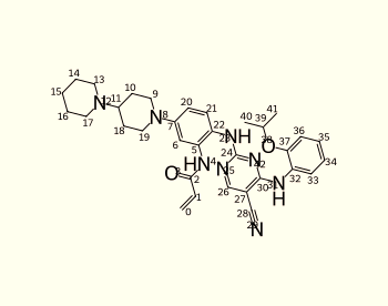 C=CC(=O)Nc1cc(N2CCC(N3CCCCC3)CC2)ccc1Nc1ncc(C#N)c(Nc2ccccc2OC(C)C)n1